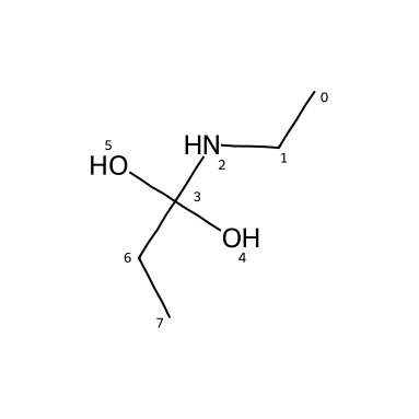 CCNC(O)(O)CC